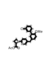 COc1ccc(Cc2ccc(N3CCC3C(=O)OC(C)=O)nc2)cc1-c1cccc(Cl)c1